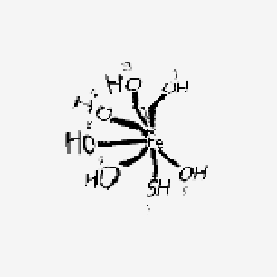 [OH][Fe]([OH])([OH])([OH])([OH])([OH])[SH]